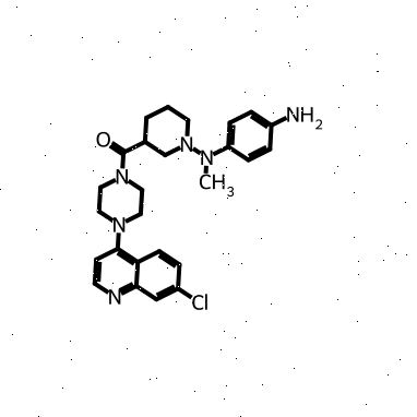 CN(c1ccc(N)cc1)N1CCCC(C(=O)N2CCN(c3ccnc4cc(Cl)ccc34)CC2)C1